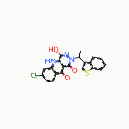 CC(c1csc2ccccc12)n1nc(O)c2[nH]c3cc(Cl)ccc3c(=O)c2c1=O